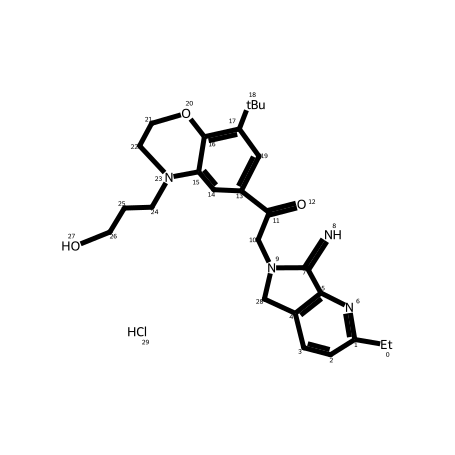 CCc1ccc2c(n1)C(=N)N(CC(=O)c1cc3c(c(C(C)(C)C)c1)OCCN3CCCO)C2.Cl